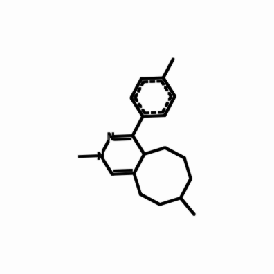 Cc1ccc(C2=NN(C)C=C3CCC(C)CCCC32)cc1